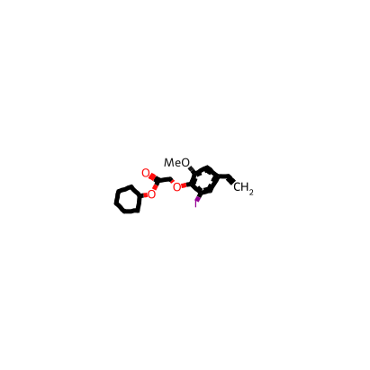 C=Cc1cc(I)c(OCC(=O)OC2CCCCC2)c(OC)c1